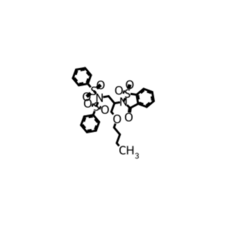 CCCCOCC(CN(S(=O)(=O)c1ccccc1)S(=O)(=O)c1ccccc1)N1C(=O)c2ccccc2S1(=O)=O